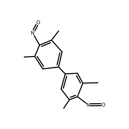 Cc1cc(-c2cc(C)c(N=O)c(C)c2)cc(C)c1N=O